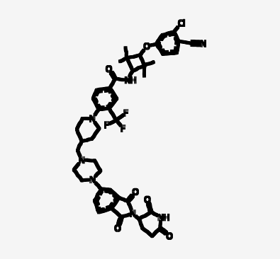 CC1(C)C(NC(=O)c2ccc(N3CCC(CN4CCN(c5ccc6c(c5)C(=O)N(C5CCC(=O)NC5=O)C6=O)CC4)CC3)c(C(F)(F)F)c2)C(C)(C)C1Oc1ccc(C#N)c(Cl)c1